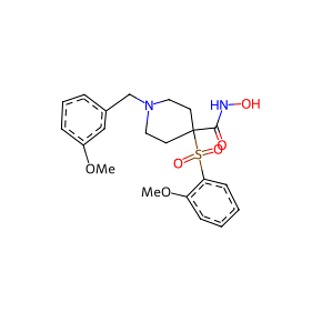 COc1cccc(CN2CCC(C(=O)NO)(S(=O)(=O)c3ccccc3OC)CC2)c1